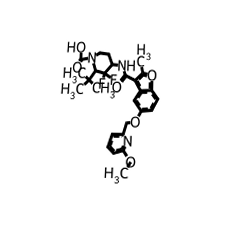 COc1cccc(COc2ccc3oc(C)c(C(=O)NC4CCN(C(=O)O)C(C(C)(C)C)C4(F)F)c3c2)n1